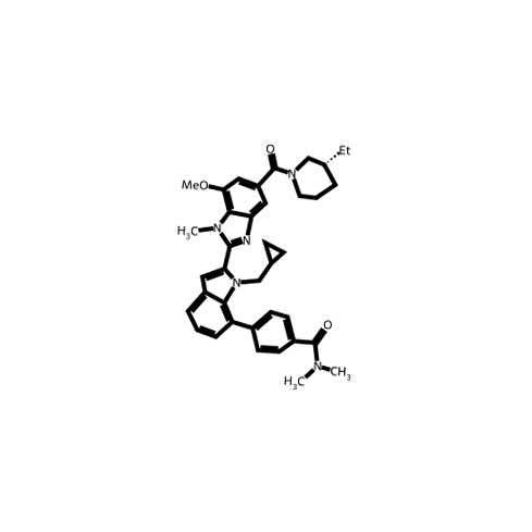 CC[C@@H]1CCCN(C(=O)c2cc(OC)c3c(c2)nc(-c2cc4cccc(-c5ccc(C(=O)N(C)C)cc5)c4n2CC2CC2)n3C)C1